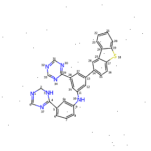 C1=NCNC(c2cccc(Nc3cc(-c4ccc5sc6ccccc6c5c4)cc(-c4ncncn4)c3)c2)=N1